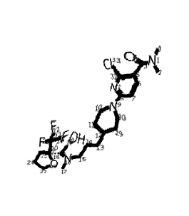 CN(C)C(=O)c1ccc(N2CCC(CCCN(C)C(O)[C@@]3(C(F)(F)F)CCCO3)CC2)nc1Cl